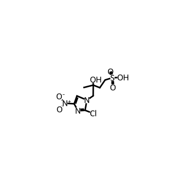 CC(O)(CCS(=O)(=O)O)Cn1cc([N+](=O)[O-])nc1Cl